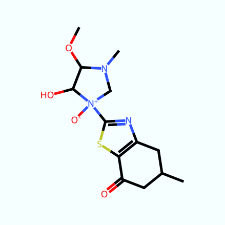 COC1C(O)[N+]([O-])(c2nc3c(s2)C(=O)CC(C)C3)CN1C